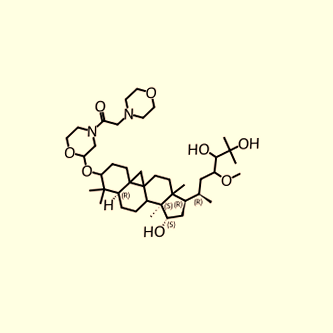 COC(C[C@@H](C)[C@H]1C[C@H](O)[C@@]2(C)C3CC[C@H]4C(C)(C)C(OC5CN(C(=O)CN6CCOCC6)CCO5)CCC45CC35CCC12C)C(O)C(C)(C)O